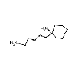 NCCCCCC1(N)CCCCC1